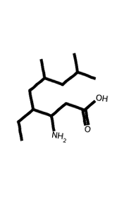 CCC(CC(C)CC(C)C)C(N)CC(=O)O